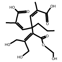 CCCC(C=C(C)C(=O)O)(C=C(C)C(=O)O)C(C(=O)OCO)=C(CO)CO